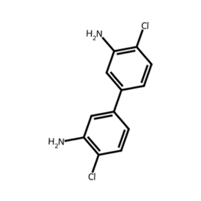 Nc1cc(-c2ccc(Cl)c(N)c2)ccc1Cl